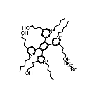 CCCCC[n+]1cc(CCCO)cc(-c2cc(-c3cc(CCCO)c[n+](CCCCC)c3)c(-c3cc(CCCO)c[n+](CCCCC)c3)cc2-c2cc(CCCO)c[n+](CCCCC)c2)c1.[Br-].[Br-].[Br-].[Br-]